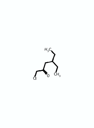 CCC(CC)CC(=O)CCl